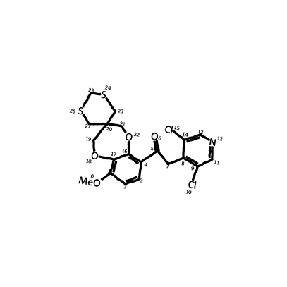 COc1ccc(C(=O)Cc2c(Cl)cncc2Cl)c2c1OCC1(CO2)CSCSC1